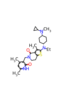 CCN(c1sc2c(c1C)C(=O)N(Cc1c(C)cc(C)[nH]c1=O)CC2)[C@H]1CC[C@H](N(C)C2CC2)CC1